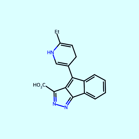 CCC1=CCC(C2=C3C(C(=O)O)=NN=C3c3ccccc32)=CN1